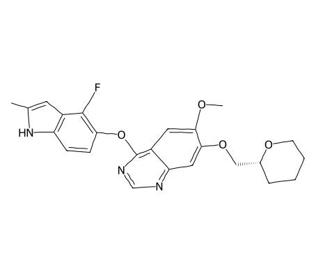 COc1cc2c(Oc3ccc4[nH]c(C)cc4c3F)ncnc2cc1OC[C@H]1CCCCO1